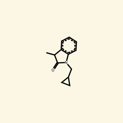 CC1C(=O)N(CC2CC2)c2ccccc21